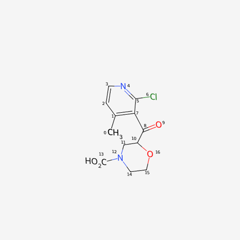 Cc1ccnc(Cl)c1C(=O)C1CN(C(=O)O)CCO1